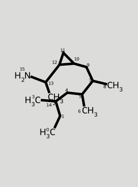 CCC(C)CC(C)C(C)CC1CC1C(C)N